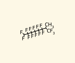 CC(C(F)(F)F)C(F)(F)C(F)(F)C(F)(F)C(F)(F)C(F)(F)[C](F)F